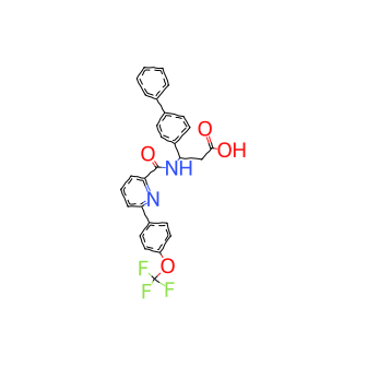 O=C(O)CC(NC(=O)c1cccc(-c2ccc(OC(F)(F)F)cc2)n1)c1ccc(-c2ccccc2)cc1